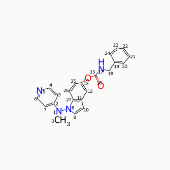 CN(c1ccncc1)n1ccc2cc(OC(=O)NCc3ccccc3)ccc21